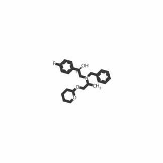 CC(COC1CCCCO1)N(Cc1ccccc1)C[C@H](O)c1ccc(F)cc1